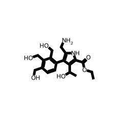 CCOC(=O)c1[nH]c(CN)c(-c2ccc(CO)c(CO)c2CO)c1C(C)O